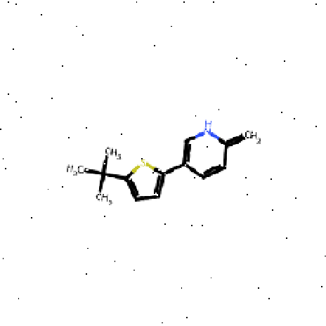 C=C1C=CC(c2ccc(C(C)(C)C)s2)=CN1